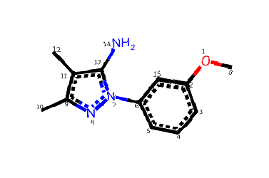 COc1cccc(-n2nc(C)c(C)c2N)c1